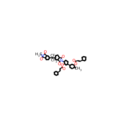 Cc1ccc(-c2ccc(N3C(=O)c4ccc(C(c5ccc6c(c5)C(=O)N(C)C6=O)(C(F)(F)F)C(F)(F)F)cc4C3=O)c(OC(=O)/C=C/c3ccccc3)c2)cc1OC(=O)/C=C/c1ccccc1